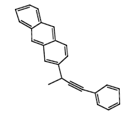 CC(C#Cc1ccccc1)c1ccc2cc3ccccc3cc2c1